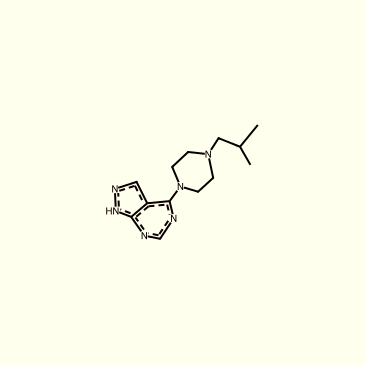 C[C](C)CN1CCN(c2ncnc3[nH]ncc23)CC1